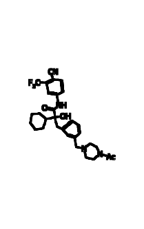 CC(=O)N1CCN(Cc2cccc(CC(O)(C(=O)Nc3ccc(C#N)c(C(F)(F)F)c3)C3CCCCC3)c2)CC1